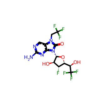 Nc1ncc2c(n1)n([C@@H]1O[C@H]([C@@H](O)C(F)(F)F)[C@H](F)[C@H]1O)c(=O)n2CC(F)(F)F